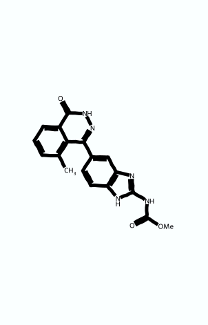 COC(=O)Nc1nc2cc(-c3n[nH]c(=O)c4cccc(C)c34)ccc2[nH]1